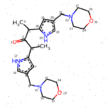 CC(C(=O)C(C)c1cc(CN2CCOCC2)c[nH]1)c1cc(CN2CCOCC2)c[nH]1